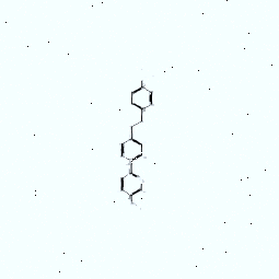 CCCCCCCCc1ccc(CCc2ccc(-c3ccc(C#N)cn3)cc2)cc1